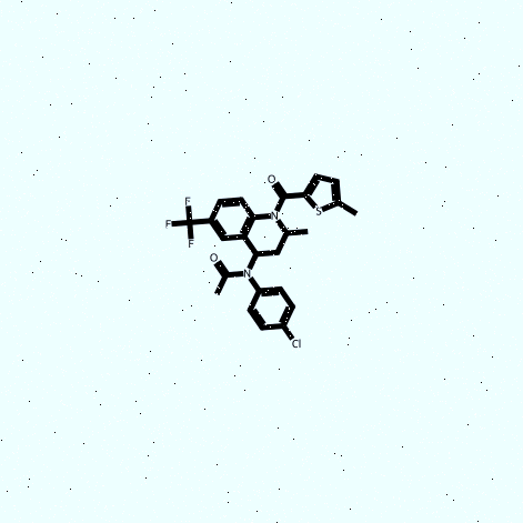 CC(=O)N(c1ccc(Cl)cc1)C1CC(C)N(C(=O)c2ccc(C)s2)c2ccc(C(F)(F)F)cc21